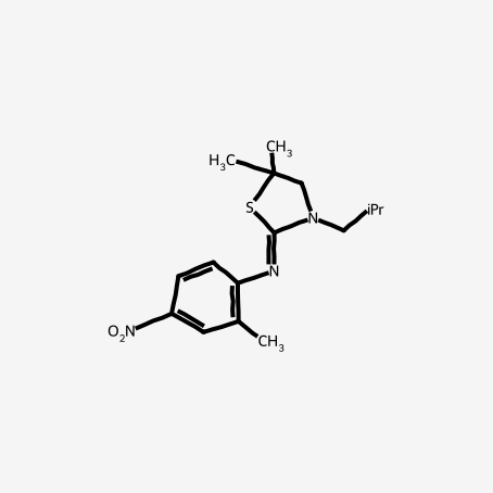 Cc1cc([N+](=O)[O-])ccc1N=C1SC(C)(C)CN1CC(C)C